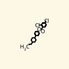 C=CCC1CCC(c2ccc(OC(=O)c3ccc(Cl)cc3Cl)cc2)CC1